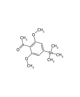 COc1c[c]([Sn]([CH3])([CH3])[CH3])cc(OC)c1C(C)=O